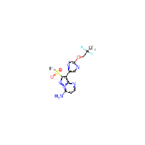 CCS(=O)(=O)c1nn2c(N)ccnc2c1-c1cnc(OCC(F)(F)C(F)(F)F)cn1